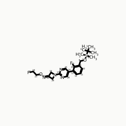 CC(C)(C)[Si](C)(C)OCc1cccc(-c2cnc(N3CC(=NOCCF)C3)nc2)c1F